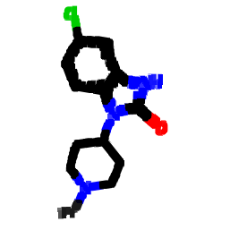 CC(C)N1CCC(n2c(=O)[nH]c3cc(Cl)ccc32)CC1